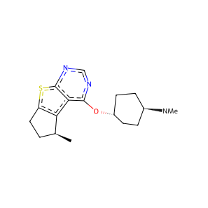 CN[C@H]1CC[C@H](Oc2ncnc3sc4c(c23)[C@@H](C)CC4)CC1